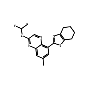 Cc1cc(-c2nc3c(s2)CCCC3)c2ncc(OC(F)F)nc2c1